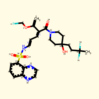 C=C(OCF)/C(=C\C=C\NS(=O)(=O)c1cccc2nccnc12)C(=O)N1CCC(O)(CCC(C)(F)F)CC1